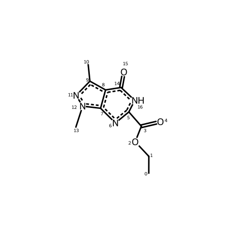 CCOC(=O)c1nc2c(c(C)nn2C)c(=O)[nH]1